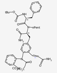 CCCCCN(C(=O)[C@H](Cc1ccccc1)NC(=O)OC(C)(C)C)[C@@H](Cc1ccc(N(C(=O)C(=O)O)c2ccccc2C(=O)O)c(/C=C/C(N)=O)c1)C(N)=O